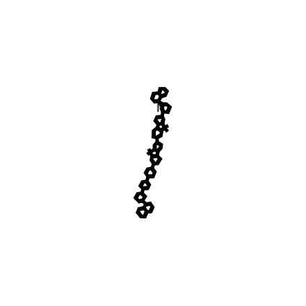 CC1(C)c2cc(-c3ccc(-c4ccc(-c5cccc(-c6cccc7ccccc67)c5)cc4)cc3)ccc2-c2ccc(-c3ccc4c(c3)C(C)(C)c3cc(-c5cccc(-c6cccc7ccccc67)n5)ccc3-4)cc21